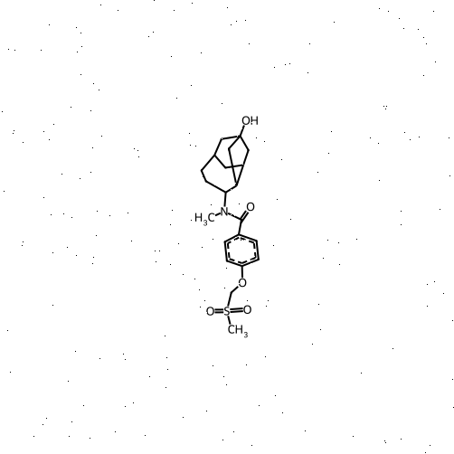 CN(C(=O)c1ccc(OCS(C)(=O)=O)cc1)C1CCC2CC3CC(O)(C2)CC31